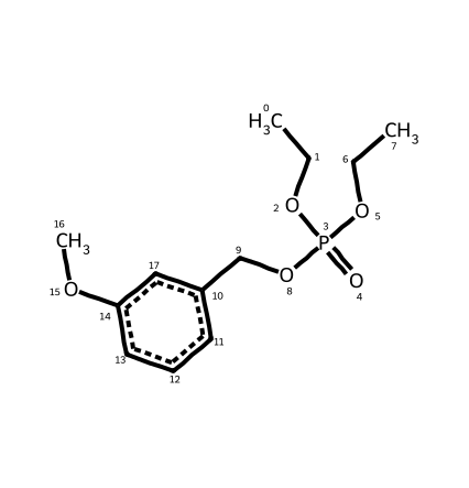 CCOP(=O)(OCC)OCc1cccc(OC)c1